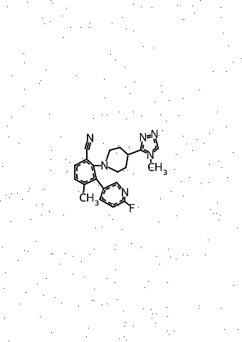 Cc1ccc(C#N)c(N2CCC(c3nncn3C)CC2)c1-c1ccc(F)nc1